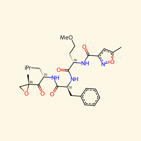 COCC[C@H](NC(=O)c1cc(C)on1)C(=O)N[C@@H](Cc1ccccc1)C(=O)N[C@@H](CC(C)C)C(=O)[C@@]1(C)CO1